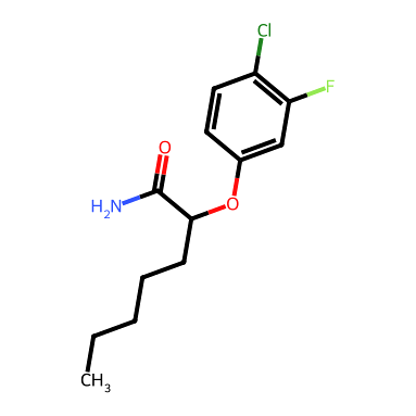 CCCCCC(Oc1ccc(Cl)c(F)c1)C(N)=O